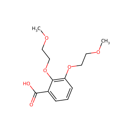 COCCOc1cccc(C(=O)O)c1OCCOC